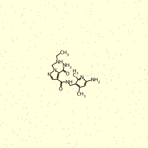 CCNCn1ncc(C(=O)NCc2c(C)cc(N)nc2C)c1C(N)=O